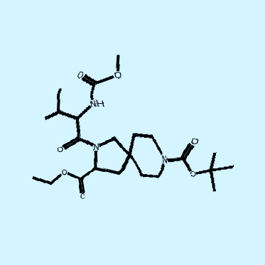 CCOC(=O)C1CC2(CCN(C(=O)OC(C)(C)C)CC2)CN1C(=O)C(NC(=O)OC)C(C)C